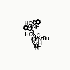 Cc1ncc(CN2CCN(CC(O)CC(Cc3ccccc3)C(=O)N[C@H]3c4ccccc4C[C@H]3O)C(C(=O)NC(C)(C)C)C2)s1